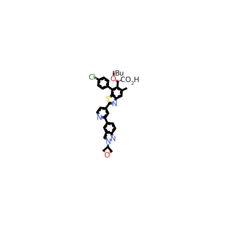 Cc1cc2nc(-c3ccnc(-c4ccc5nn(C6COC6)cc5c4)c3)sc2c(-c2ccc(Cl)cc2)c1[C@H](OC(C)(C)C)C(=O)O